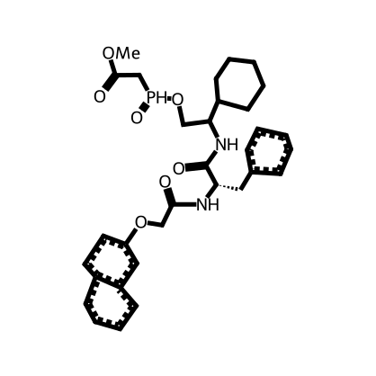 COC(=O)C[PH](=O)OCC(NC(=O)[C@H](Cc1ccccc1)NC(=O)COc1ccc2ccccc2c1)C1CCCCC1